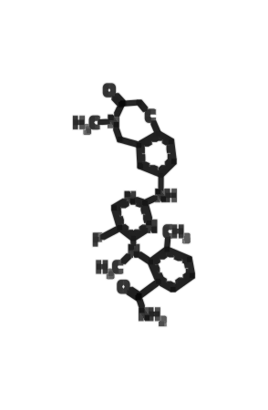 Cc1cccc(C(N)=O)c1N(C)c1nc(Nc2ccc3c(c2)CN(C)C(=O)CC3)ncc1F